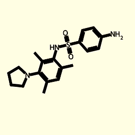 Cc1cc(C)c(N2CCCC2)c(C)c1NS(=O)(=O)c1ccc(N)cc1